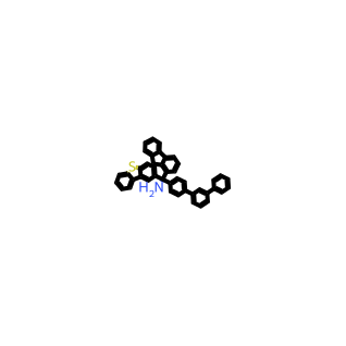 NC(c1ccc(-c2cccc(-c3ccccc3)c2)cc1)(c1ccc2sc3ccccc3c2c1)c1cccc2c1Cc1ccccc1-2